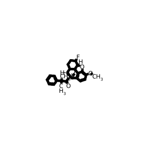 COc1ccc2c3c1O[C@@H]1C(F)CCC4[C@H](C2)N(C(=O)C(C)(C)c2ccccc2)CC[C@]341